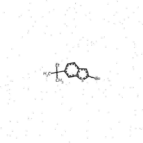 CCC(C)c1cc2ccc(C(C)(C)CC)cc2s1